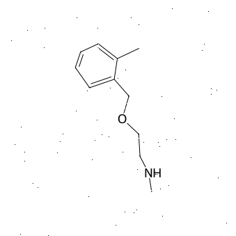 CNCCOCc1ccccc1C